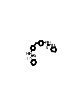 S=C(Nc1ccccc1)Nc1ccc(Cc2ccc(NC(=S)Nc3ccccc3)cc2)cc1